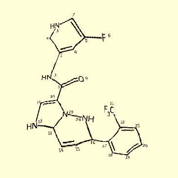 O=C(NC1=CC(F)=CNC1)C1=CNC2C=CC(c3ccccc3C(F)(F)F)NN12